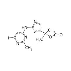 Cc1nc(I)cc(Nc2ncc(C(C)(C)OC=O)s2)n1